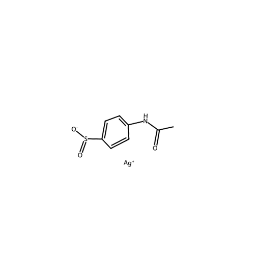 CC(=O)Nc1ccc(S(=O)[O-])cc1.[Ag+]